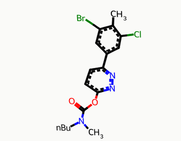 CCCCN(C)C(=O)Oc1ccc(-c2cc(Cl)c(C)c(Br)c2)nn1